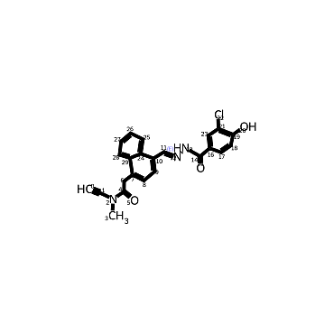 C#CN(C)C(=O)Cc1ccc(/C=N/NC(=O)c2ccc(O)c(Cl)c2)c2ccccc12